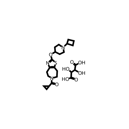 O=C(C1CC1)N1CCc2nc(OC3CCN(C4CCC4)CC3)sc2CC1.O=C(O)C(O)C(O)C(=O)O